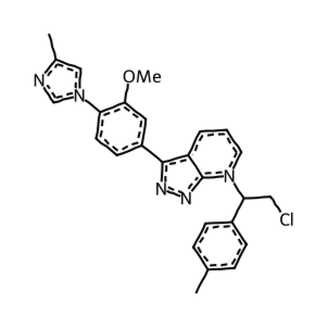 COc1cc(-c2nnc3n(C(CCl)c4ccc(C)cc4)cccc2-3)ccc1-n1cnc(C)c1